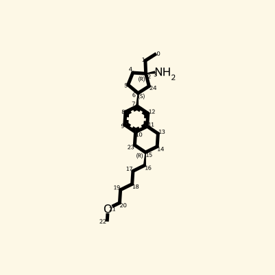 CC[C@@]1(N)CC[C@H](c2ccc3c(c2)CC[C@@H](CCCCCOC)C3)C1